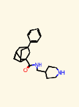 O=C(NCC1CCNCC1)C12CC3CC1CC(c1ccccc1)(C3)C2